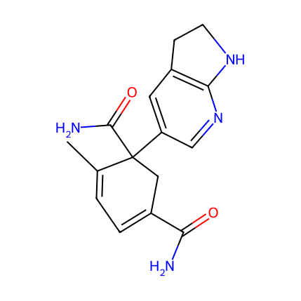 CC1=CC=C(C(N)=O)CC1(C(N)=O)c1cnc2c(c1)CCN2